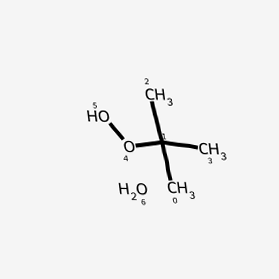 CC(C)(C)OO.O